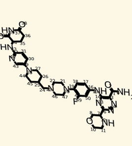 NC(=O)c1nnc(C2COCCN2)nc1Nc1ccc(N2CCN(CC3CCN(c4ccc(NC5CCC(=O)NC5=O)nc4)CC3)CC2)c(F)c1